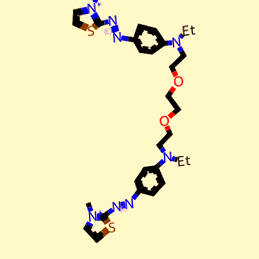 CCN(CCOCCOCCN(CC)c1ccc(/N=N/c2scc[n+]2C)cc1)c1ccc(/N=N/c2scc[n+]2C)cc1